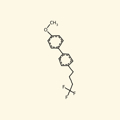 COc1ccc(-c2ccc(CCCC(F)(F)F)cc2)cc1